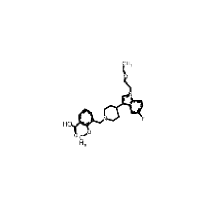 CCOCCn1cc(C2CCN(Cc3cccc(C(=O)O)c3OC)CC2)c2cc(F)ccc21